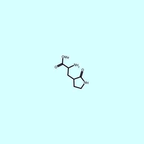 COC(=O)C(N)CC1CCNC1=O